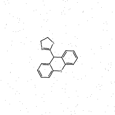 c1ccc2c(c1)Sc1ccccc1C2C1=NCCS1